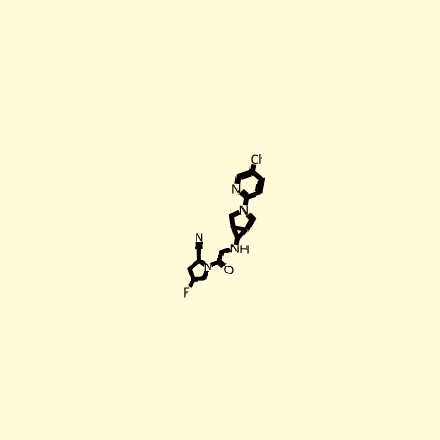 N#CC1CC(F)CN1C(=O)CNC1C2CN(c3ccc(Cl)cn3)CC21